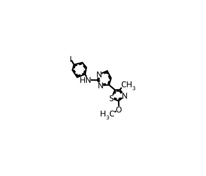 COc1nc(C)c(-c2ccnc(Nc3ccc(I)cc3)n2)s1